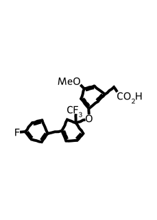 COc1cc(CC(=O)O)cc(OC2(C(F)(F)F)C=CC=C(c3ccc(F)cc3)C2)c1